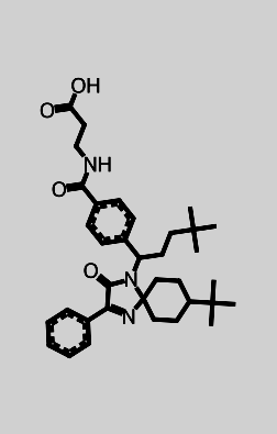 CC(C)(C)CCC(c1ccc(C(=O)NCCC(=O)O)cc1)N1C(=O)C(c2ccccc2)=NC12CCC(C(C)(C)C)CC2